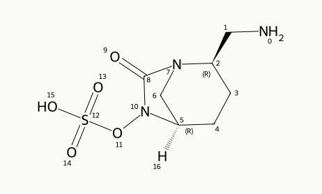 NC[C@H]1CC[C@@H]2CN1C(=O)N2OS(=O)(=O)O